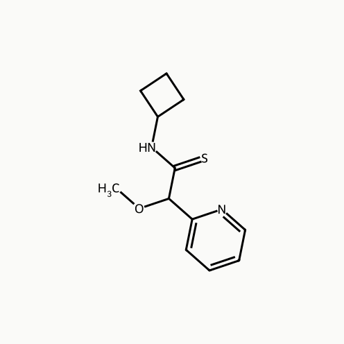 COC(C(=S)NC1CCC1)c1ccccn1